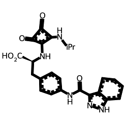 CC(C)Nc1c(N[C@@H](Cc2ccc(NC(=O)c3n[nH]c4ccccc34)cc2)C(=O)O)c(=O)c1=O